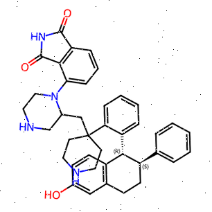 O=C1NC(=O)c2c1cccc2N1CCNCC1CC1(c2ccccc2[C@H]2c3ccc(O)cc3CC[C@@H]2c2ccccc2)CCNCC1